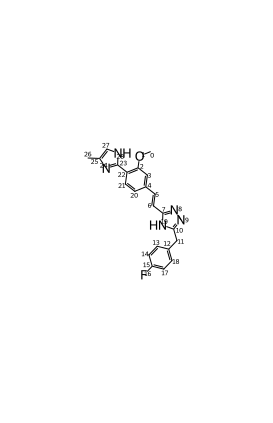 COc1cc(C=Cc2nnc(Cc3ccc(F)cc3)[nH]2)ccc1-c1nc(C)c[nH]1